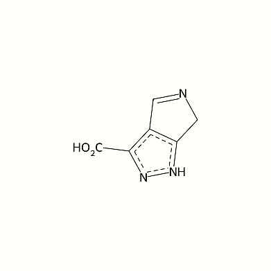 O=C(O)c1n[nH]c2c1C=NC2